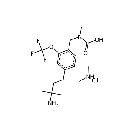 CN(Cc1ccc(CCC(C)(C)N)cc1OC(F)(F)F)C(=O)O.CNC.Cl